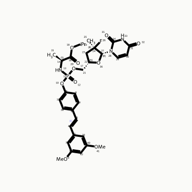 COc1cc(/C=C/c2ccc(OP(=O)(N[C@@H](C)C(=O)OC(C)C)OC[C@@H]3C[C@@](C)(F)[C@H](n4ccc(=O)[nH]c4=O)O3)cc2)cc(OC)c1